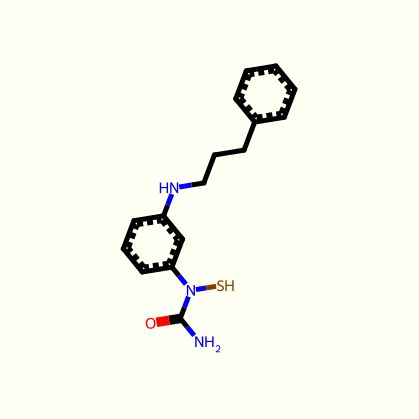 NC(=O)N(S)c1cccc(NCCCc2ccccc2)c1